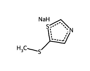 CSc1cncs1.[NaH]